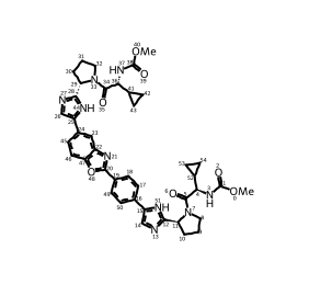 COC(=O)N[C@@H](C(=O)N1CCC[C@H]1c1ncc(-c2ccc(-c3nc4cc(-c5cnc([C@@H]6CCCN6C(=O)[C@H](NC(=O)OC)C6CC6)[nH]5)ccc4o3)cc2)[nH]1)C1CC1